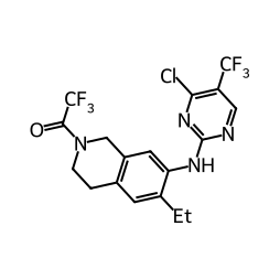 CCc1cc2c(cc1Nc1ncc(C(F)(F)F)c(Cl)n1)CN(C(=O)C(F)(F)F)CC2